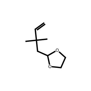 C=CC(C)(C)CC1OCCO1